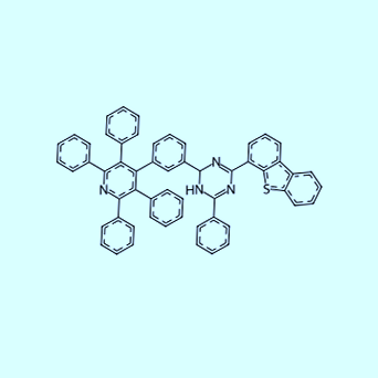 c1ccc(C2=NC(c3cccc4c3sc3ccccc34)=NC(c3cccc(-c4c(-c5ccccc5)c(-c5ccccc5)nc(-c5ccccc5)c4-c4ccccc4)c3)N2)cc1